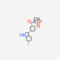 CN1C(=O)c2cc(-c3c[nH]c4cc(F)ccc34)ccc2S1(=O)=O